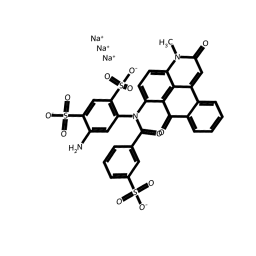 Cn1c(=O)cc2c3c(c(N(C(=O)c4cccc(S(=O)(=O)[O-])c4)c4cc(N)c(S(=O)(=O)[O-])cc4S(=O)(=O)[O-])ccc31)C(=O)c1ccccc1-2.[Na+].[Na+].[Na+]